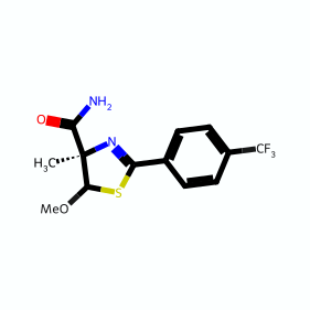 COC1SC(c2ccc(C(F)(F)F)cc2)=N[C@]1(C)C(N)=O